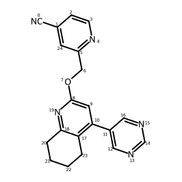 N#Cc1ccnc(COc2cc(-c3cncnc3)c3c(n2)CCCC3)c1